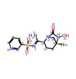 NC(=NS(=O)(=O)c1cccnc1)[C@@H]1CC[C@@H]2CN1C(=O)N2O